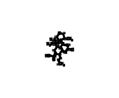 C=CCC1c2nc(Cl)nc(N3CCOC[C@@H]3C)c2C(C(C)(C)C)CN1C(=O)O